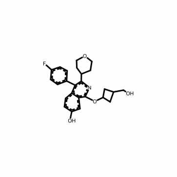 OCC1CC(Oc2nc(C3CCOCC3)c(-c3ccc(F)cc3)c3ccc(O)cc23)C1